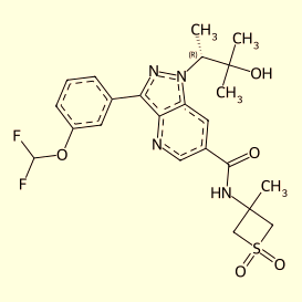 C[C@@H](n1nc(-c2cccc(OC(F)F)c2)c2ncc(C(=O)NC3(C)CS(=O)(=O)C3)cc21)C(C)(C)O